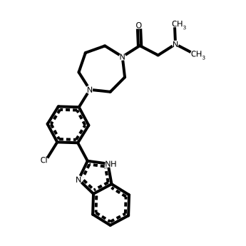 CN(C)CC(=O)N1CCCN(c2ccc(Cl)c(-c3nc4ccccc4[nH]3)c2)CC1